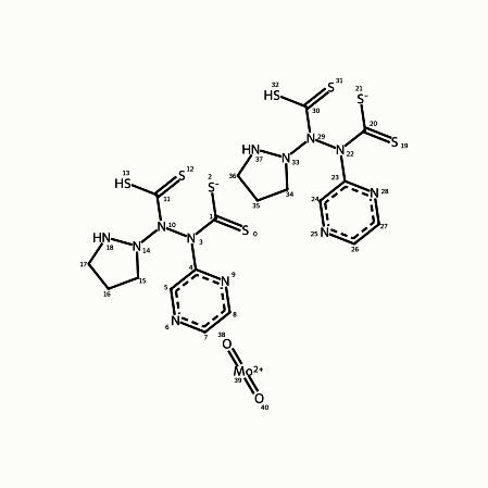 S=C([S-])N(c1cnccn1)N(C(=S)S)N1CCCN1.S=C([S-])N(c1cnccn1)N(C(=S)S)N1CCCN1.[O]=[Mo+2]=[O]